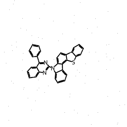 c1ccc(-c2nc(-n3c4ccccc4c4c5sc6ccccc6c5ccc43)nc3ccccc23)cc1